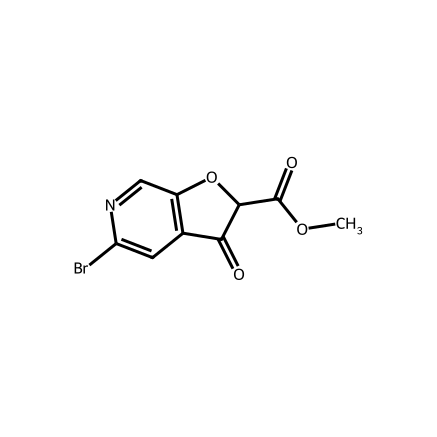 COC(=O)C1Oc2cnc(Br)cc2C1=O